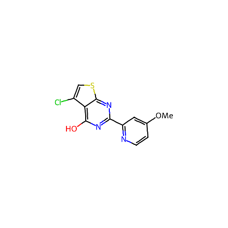 COc1ccnc(-c2nc(O)c3c(Cl)csc3n2)c1